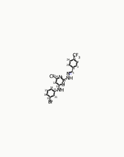 FC(F)(F)c1ccc(/C=N/Nc2nc(Cl)cc(Nc3cccc(Br)c3)n2)cc1